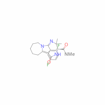 CNC(=O)[C@H]1NC(=O)/C(C)=C2\CCCCCN2/C(c2cc(F)ccc2F)=N/C1(C)C